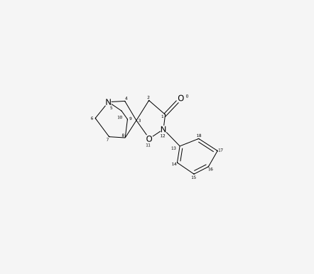 O=C1CC2(CN3CCC2CC3)ON1c1ccccc1